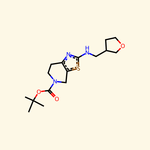 CC(C)(C)OC(=O)N1CCc2nc(NCC3CCOC3)sc2C1